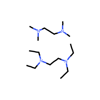 CCN(CC)CCN(CC)CC.CN(C)CCN(C)C